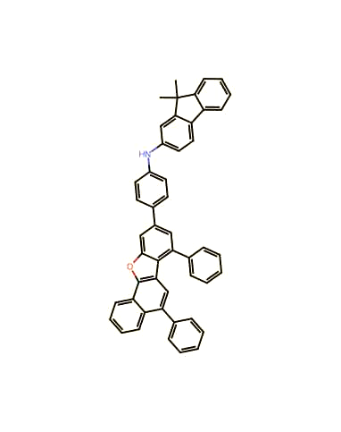 CC1(C)c2ccccc2-c2ccc(Nc3ccc(-c4cc(-c5ccccc5)c5c(c4)oc4c6ccccc6c(-c6ccccc6)cc45)cc3)cc21